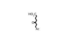 CC(=O)CCC(=O)CCCC(=O)O